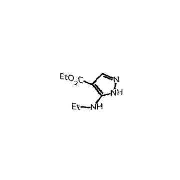 CCNc1[nH]ncc1C(=O)OCC